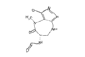 CN1C(=O)[C@@H](NC=O)CNc2ncnc(Cl)c21